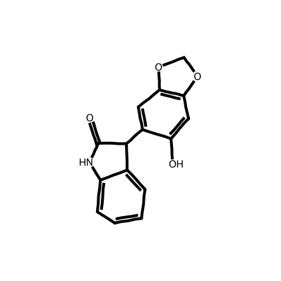 O=C1Nc2ccccc2C1c1cc2c(cc1O)OCO2